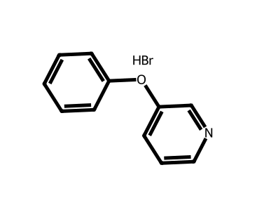 Br.c1ccc(Oc2cccnc2)cc1